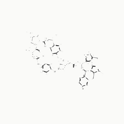 Cc1sc2c(c1C)C(c1ccc(Cl)cc1)=N[C@@H](CC(=O)NC1CC(Oc3ccc(CC(=O)N[C@H](C(=O)N4C[C@H](O)C[C@H]4C(=O)N[C@@H](C)c4ccc(C#N)cc4)C(C)(C)C)cc3)C1)c1nnc(C)n1-2